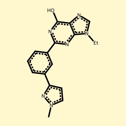 CCn1cnc2c(O)nc(-c3cccc(-c4ccn(C)n4)c3)nc21